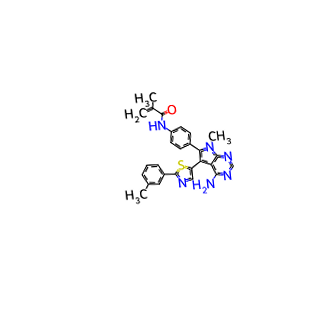 C=C(C)C(=O)Nc1ccc(-c2c(-c3cnc(-c4cccc(C)c4)s3)c3c(N)ncnc3n2C)cc1